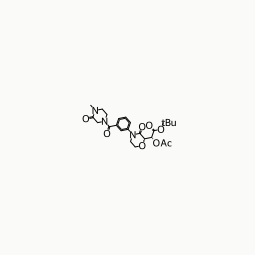 CC(=O)O[C@@H](C(=O)OC(C)(C)C)[C@H]1OCCN(c2cccc(C(=O)N3CCN(C)C(=O)C3)c2)C1=O